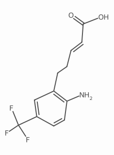 Nc1ccc(C(F)(F)F)cc1CCC=CC(=O)O